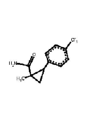 CC1(C(N)=O)CC1c1ccc(C(F)(F)F)cc1